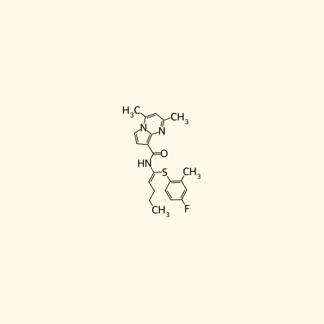 CCC/C=C(/NC(=O)c1ccn2c(C)cc(C)nc12)Sc1ccc(F)cc1C